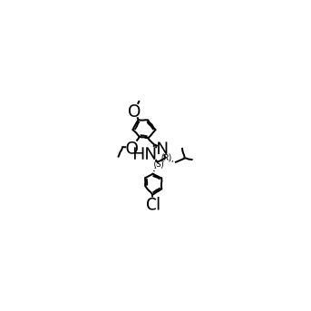 CCOc1cc(OC)ccc1C1=N[C@H](CC(C)C)[C@H](c2ccc(Cl)cc2)N1